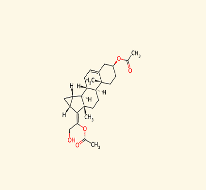 CC(=O)OC(CO)=C1[C@@H]2C[C@@H]2[C@H]2[C@@H]3CC=C4C[C@@H](OC(C)=O)CC[C@]4(C)[C@H]3CC[C@]12C